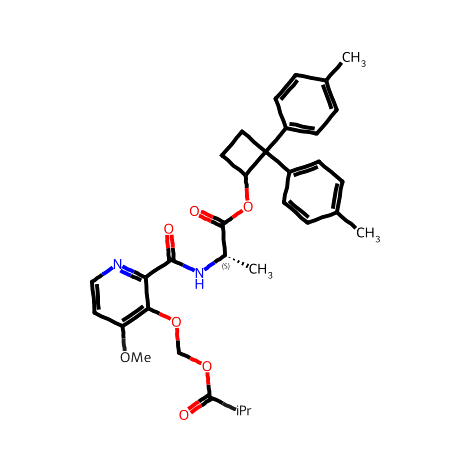 COc1ccnc(C(=O)N[C@@H](C)C(=O)OC2CCC2(c2ccc(C)cc2)c2ccc(C)cc2)c1OCOC(=O)C(C)C